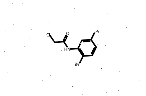 CC(C)c1ccc(C(C)C)c(NC(=O)CCl)c1